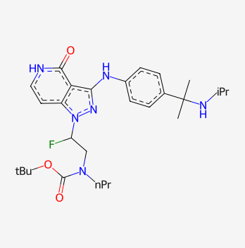 CCCN(CC(F)n1nc(Nc2ccc(C(C)(C)NC(C)C)cc2)c2c(=O)[nH]ccc21)C(=O)OC(C)(C)C